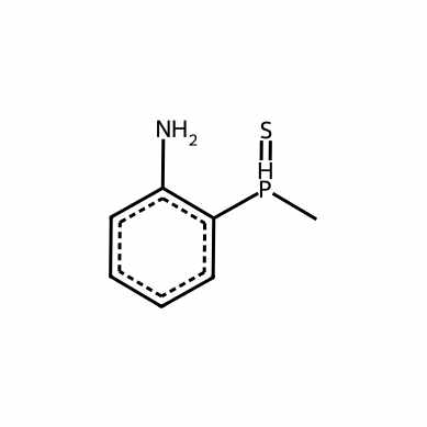 C[PH](=S)c1ccccc1N